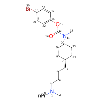 CCCN(C)CCCC[C@H]1CC[C@H](N(C)C(=O)Oc2ccc(Br)cc2)CC1